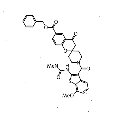 CNC(=O)Nc1sc2c(OC)cccc2c1C(=O)N1CCC2(CC1)CC(=O)c1cc(C(=O)OCc3ccccc3)ccc1O2